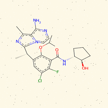 Cc1nc([C@@H](C)c2cc(Cl)c(F)c(C(=O)N[C@@H]3CCC[C@H]3O)c2OC(C)C)n2ccnc(N)c12